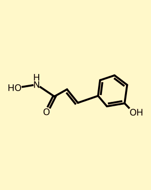 O=C(C=Cc1cccc(O)c1)NO